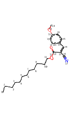 CCCCCCCCCCCCOC(=O)C(C#N)=Cc1ccc(OC)cc1